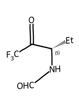 CC[C@H](NC=O)C(=O)C(F)(F)F